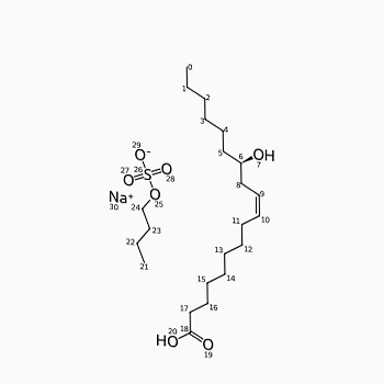 CCCCCC[C@@H](O)C/C=C\CCCCCCCC(=O)O.CCCCOS(=O)(=O)[O-].[Na+]